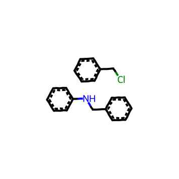 ClCc1ccccc1.c1ccc(CNc2ccccc2)cc1